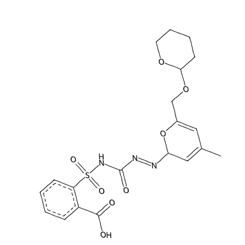 CC1=CC(N=NC(=O)NS(=O)(=O)c2ccccc2C(=O)O)OC(COC2CCCCO2)=C1